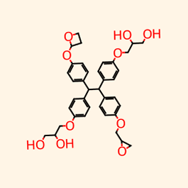 OCC(O)COc1ccc(C(c2ccc(OCC3CO3)cc2)C(c2ccc(OCC(O)CO)cc2)c2ccc(OC3CCO3)cc2)cc1